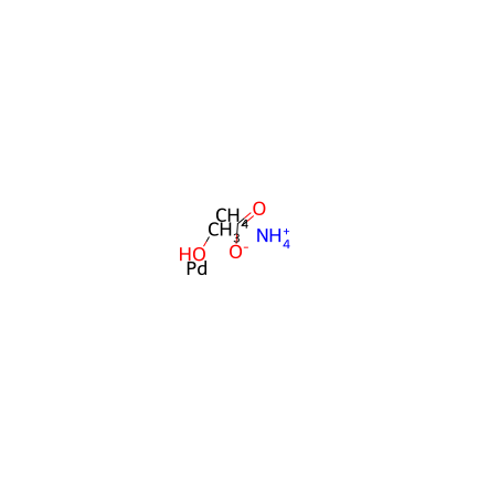 C.CO.O=C[O-].[NH4+].[Pd]